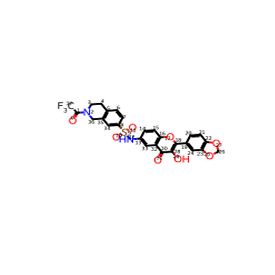 O=C(N1CCc2ccc(S(=O)(=O)Nc3ccc4oc(-c5ccc6c(c5)OCO6)c(O)c(=O)c4c3)cc2C1)C(F)(F)F